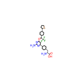 Nc1nc(O[C@@H](c2ccc(-c3cccs3)cc2)C(F)(F)F)cc(-c2ccc(CC(N)C(=O)O)cc2)n1